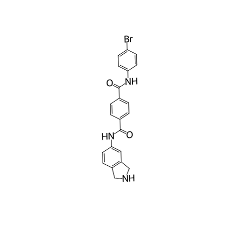 O=C(Nc1ccc(Br)cc1)c1ccc(C(=O)Nc2ccc3c(c2)CNC3)cc1